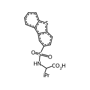 CC(C)C(NS(=O)(=O)c1ccc2sc3ccccc3c2c1)C(=O)O